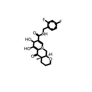 C[C@]12CCCO[C@@H]1CN1C=C(C(=O)NCc3ccc(F)cc3F)C(O)C(O)=C1C2=O